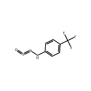 O=S=NNc1ccc(C(F)(F)F)cc1